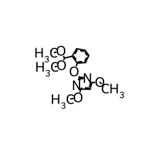 COc1cc(OC)nc(Oc2ccccc2C(OC)OC)n1